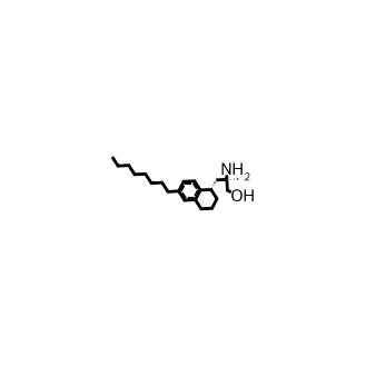 CCCCCCCCc1ccc2c(c1)CCC[C@H]2C[C@@](C)(N)CO